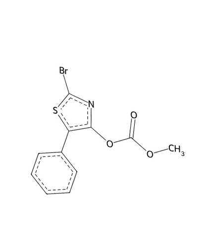 COC(=O)Oc1nc(Br)sc1-c1ccccc1